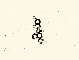 NC1(CO)CCC(F)(C(=O)NCc2ccc(Cl)cc2Cl)c2cccnc21